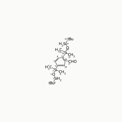 CC(C)(C)[SiH2]O[Si](C)(C)c1ccc([Si](C)(C)O[SiH2]C(C)(C)C)c(C=O)c1